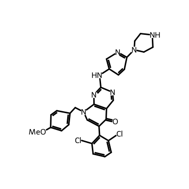 COc1ccc(Cn2cc(-c3c(Cl)cccc3Cl)c(=O)c3cnc(Nc4ccc(N5CCNCC5)nc4)nc32)cc1